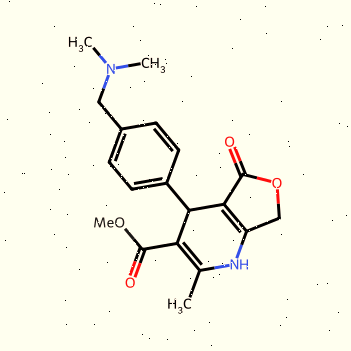 COC(=O)C1=C(C)NC2=C(C(=O)OC2)C1c1ccc(CN(C)C)cc1